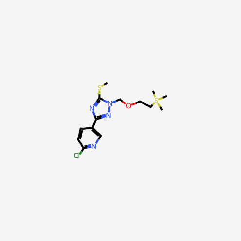 CSc1nc(-c2ccc(Cl)nc2)nn1COCCS(C)(C)C